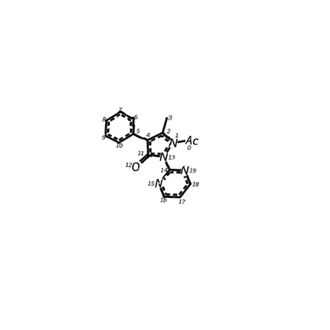 CC(=O)n1c(C)c(-c2ccccc2)c(=O)n1-c1ncccn1